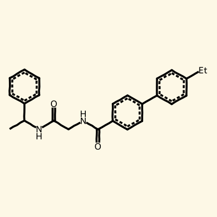 CCc1ccc(-c2ccc(C(=O)NCC(=O)NC(C)c3ccccc3)cc2)cc1